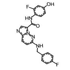 O=C(Nc1ccc(O)cc1F)c1cnc2ccc(NCc3ccc(F)cc3)nn12